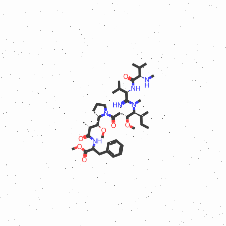 CCC(C)[C@@H]([C@@H](CC(=O)N1CCC[C@H]1[C@H](OC)[C@@H](C)C(=O)NC(Cc1ccccc1)C(=O)OC)OC)N(C)C(=N)[C@@H](NC(=O)[C@@H](NC)C(C)C)C(C)C